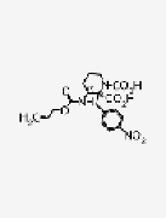 C=CCOC(=O)N[C@H]1CCCN(C(=O)O)[C@]1(Cc1ccc([N+](=O)[O-])cc1)C(=O)O